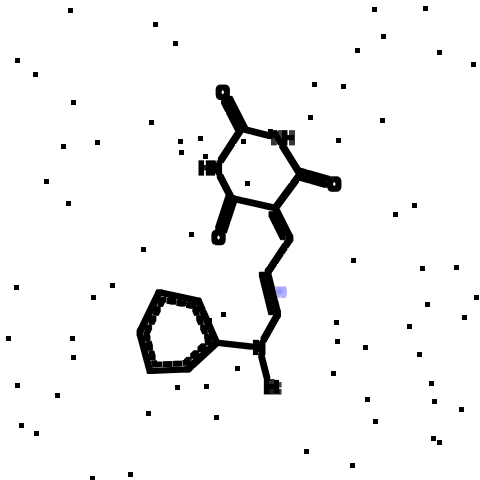 CCN(/C=C/C=C1C(=O)NC(=O)NC1=O)c1ccccc1